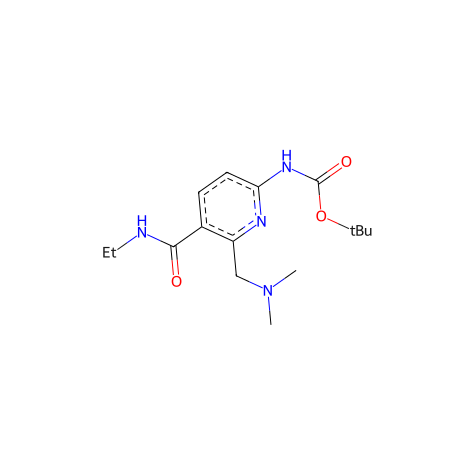 CCNC(=O)c1ccc(NC(=O)OC(C)(C)C)nc1CN(C)C